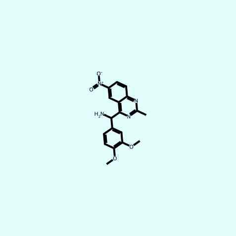 COc1ccc(C(N)c2nc(C)nc3ccc([N+](=O)[O-])cc23)cc1OC